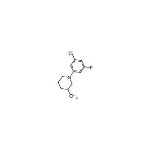 CC1CCCN(c2cc(F)cc(Cl)c2)C1